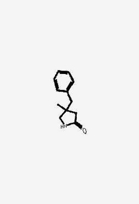 CC1(Cc2ccccc2)CNC(=O)C1